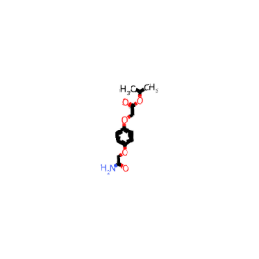 CC(C)OC(=O)COc1ccc(OCC(N)=O)cc1